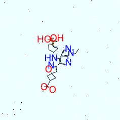 CCn1ncc2c(NC3CCS(O)(O)CC3)c(C3=NOC4(C3)CC(C(=O)OC)C4)cnc21